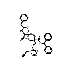 C#CCn1nnnc1SCC1(C(=O)OC(c2ccccc2)c2ccccc2)CS[C@@H]2C(NC(=O)Cc3ccccc3)C(=O)N2C1